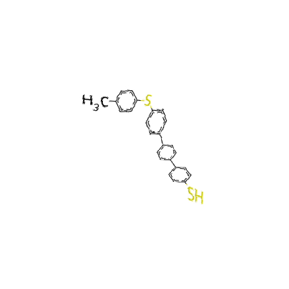 Cc1ccc(Sc2ccc(-c3ccc(-c4ccc(S)cc4)cc3)cc2)cc1